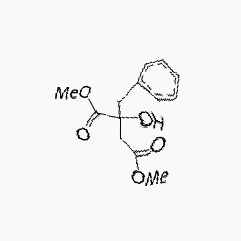 COC(=O)CC(O)(Cc1ccccc1)C(=O)OC